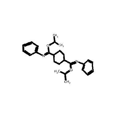 CC(C)O/C(=N\c1ccccc1)C1CCC(/C(=N/c2ccccc2)OC(C)C)CC1